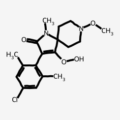 CON1CCC2(CC1)C(OO)=C(c1c(C)cc(Cl)cc1C)C(=O)N2C